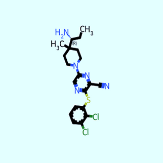 CC[C@@H](N)C1(C)CCN(c2cnc(Sc3cccc(Cl)c3Cl)c(C#N)n2)CC1